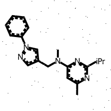 Cc1cc(N(C)Cc2cnn(-c3ccccc3)c2)nc(C(C)C)n1